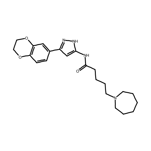 O=C(CCCCN1CCCCCC1)Nc1cc(-c2ccc3c(c2)OCCO3)n[nH]1